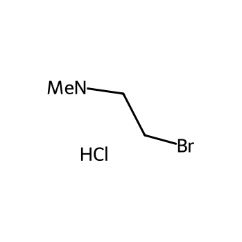 CNCCBr.Cl